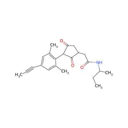 CC#Cc1cc(C)c(C2C(=O)CC(CC(=O)NC(C)CC)C2=O)c(C)c1